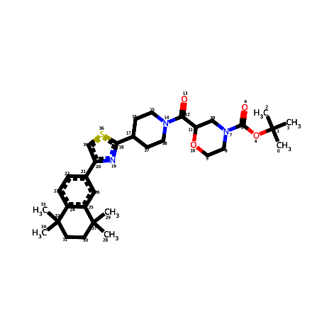 CC(C)(C)OC(=O)N1CCOC(C(=O)N2CCC(c3nc(-c4ccc5c(c4)C(C)(C)CCC5(C)C)cs3)CC2)C1